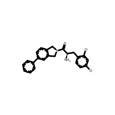 N[C@H](Cc1ccc(Cl)cc1Cl)C(=O)N1Cc2ccc(-c3ccccc3)cc2C1